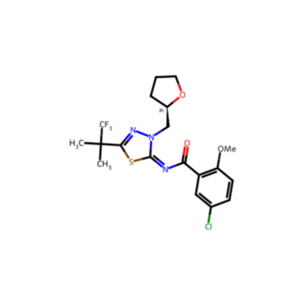 COc1ccc(Cl)cc1C(=O)N=c1sc(C(C)(C)C(F)(F)F)nn1C[C@H]1CCCO1